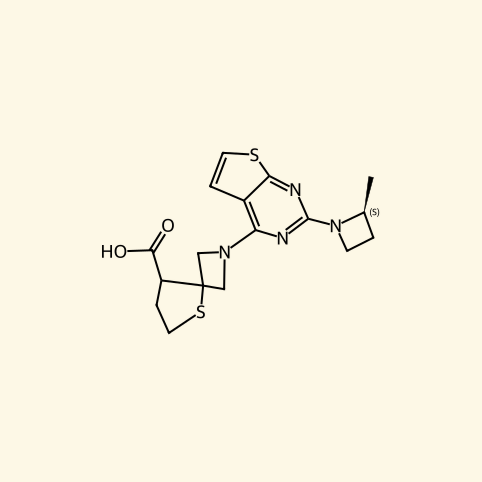 C[C@H]1CCN1c1nc(N2CC3(C2)SCCC3C(=O)O)c2ccsc2n1